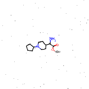 CC(C)(C)OC(=O)C(N)C1CCN(C2CCCC2)CC1